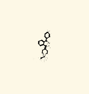 CC(C)(N)C(=O)N1CCC(c2nnc(-c3ccc(Cl)cc3)c3ccccc23)CC1.Cl